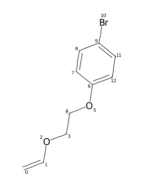 C=COC[CH]Oc1ccc(Br)cc1